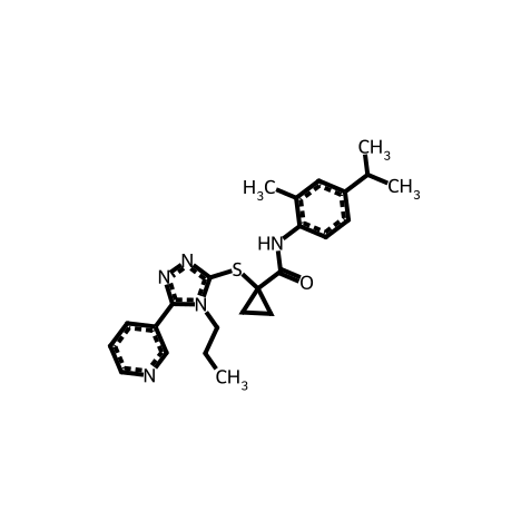 CCCn1c(SC2(C(=O)Nc3ccc(C(C)C)cc3C)CC2)nnc1-c1cccnc1